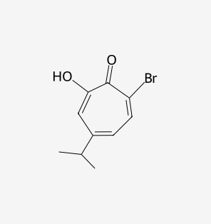 CC(C)c1ccc(Br)c(=O)c(O)c1